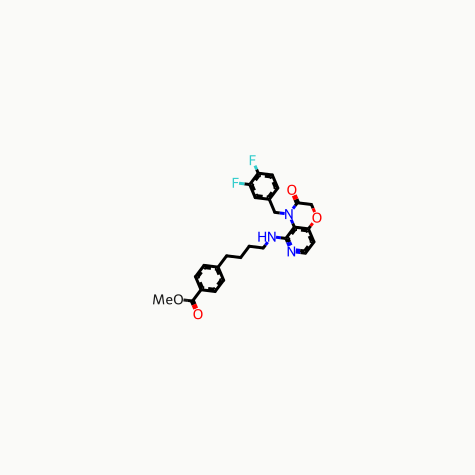 COC(=O)c1ccc(CCCCNc2nccc3c2N(Cc2ccc(F)c(F)c2)C(=O)CO3)cc1